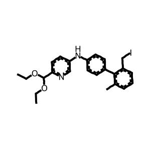 CCOC(OCC)c1ccc(Nc2ccc(-c3c(C)cccc3CI)cc2)cn1